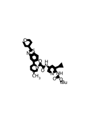 C[C@H]1CCC(c2ccc3sc(C4CCOCC4)nc3c2)N(C(=O)C(=O)Nc2cnc(NC(=O)OC(C)(C)C)c(C3CC3)c2)C1